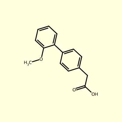 COc1ccccc1-c1ccc(CC(=O)O)cc1